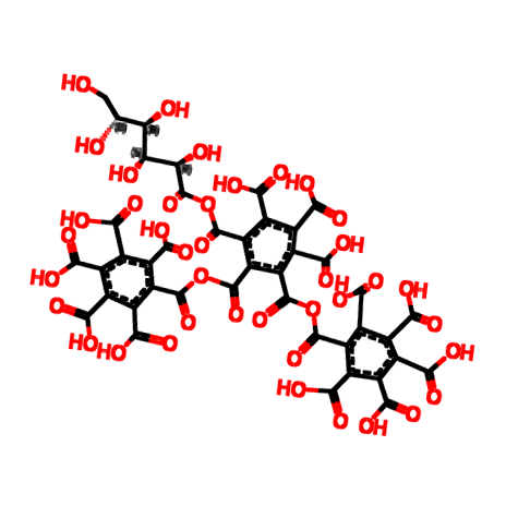 O=C(O)c1c(C(=O)O)c(C(=O)O)c(C(=O)OC(=O)c2c(C(=O)O)c(C(=O)O)c(C(=O)O)c(C(=O)OC(=O)[C@H](O)[C@@H](O)[C@H](O)[C@H](O)CO)c2C(=O)OC(=O)c2c(C(=O)O)c(C(=O)O)c(C(=O)O)c(C(=O)O)c2C(=O)O)c(C(=O)O)c1C(=O)O